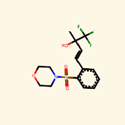 CC(O)(/C=C/c1ccccc1S(=O)(=O)N1CCOCC1)C(F)(F)F